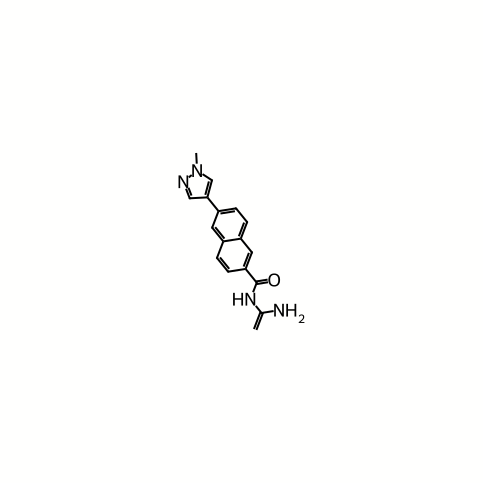 C=C(N)NC(=O)c1ccc2cc(-c3cnn(C)c3)ccc2c1